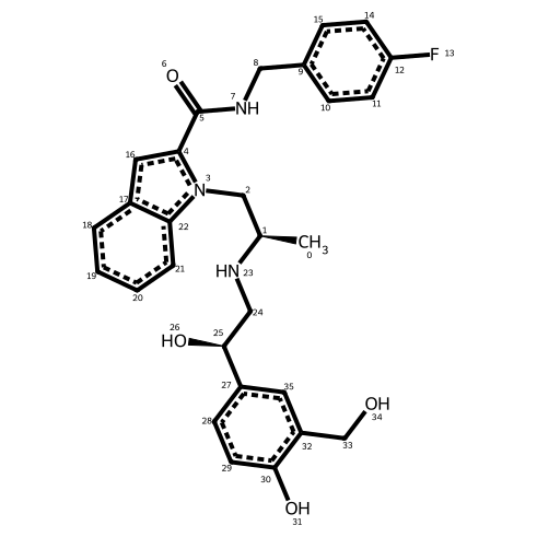 C[C@H](Cn1c(C(=O)NCc2ccc(F)cc2)cc2ccccc21)NC[C@H](O)c1ccc(O)c(CO)c1